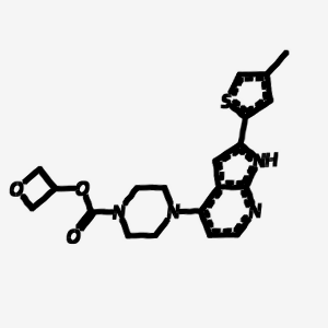 Cc1csc(-c2cc3c(N4CCN(C(=O)OC5COC5)CC4)ccnc3[nH]2)c1